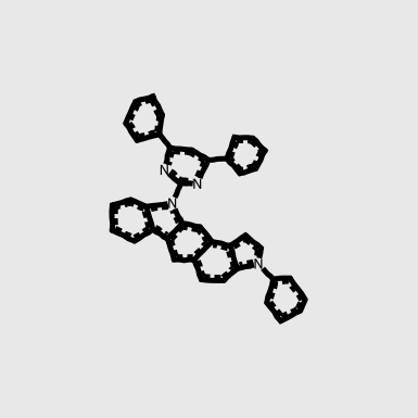 c1ccc(-c2cc(-c3ccccc3)nc(-n3c4ccccc4c4cc5ccc6c(ccn6-c6ccccc6)c5cc43)n2)cc1